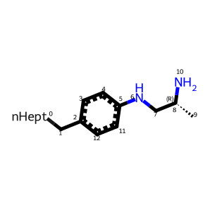 CCCCCCCCc1ccc(NC[C@@H](C)N)cc1